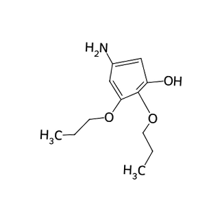 CCCOc1cc(N)cc(O)c1OCCC